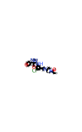 C=CC(=O)N1CCC(N2CC(c3cc(Cl)c4c(c3)Nc3ncnc(C5CCOCC5)c3CO4)C2)CC1